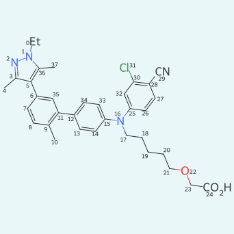 CCn1nc(C)c(-c2ccc(C)c(-c3ccc(N(CCCCCOCC(=O)O)c4ccc(C#N)c(Cl)c4)cc3)c2)c1C